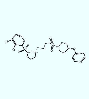 O=S(=O)(CCC[C@@H]1CCCN1S(=O)(=O)c1cccc(Cl)c1Cl)N1CCC(Oc2ccncc2)CC1